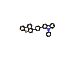 c1ccc(-n2c3ccccc3c3ccc(-c4ccc(-c5ccc6c7c(cccc57)-c5ccccc5S6)cc4)cc32)cc1